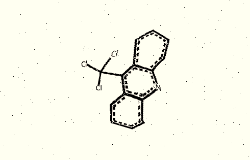 ClC(Cl)(Cl)c1c2ccccc2nc2ccccc12